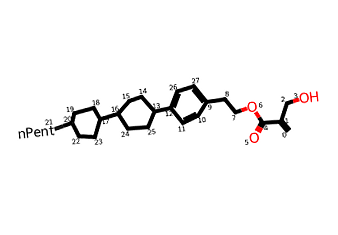 C=C(CO)C(=O)OCCc1ccc(C2CCC(C3CCC(CCCCC)CC3)CC2)cc1